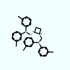 Cc1cccc(P(C[C@@H]2CC[C@H]2CP(c2cccc(C)c2)c2cccc(C)c2)c2cccc(C)c2)c1